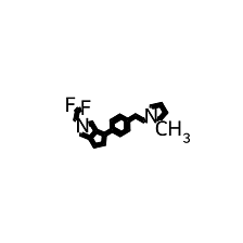 CC1CCCN1CCc1ccc(C2CCC3CN(CC(F)F)CC32)cc1